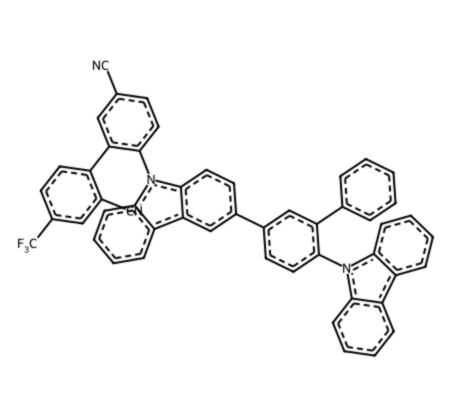 N#Cc1ccc(-n2c3ccccc3c3cc(-c4ccc(-n5c6ccccc6c6ccccc65)c(-c5ccccc5)c4)ccc32)c(-c2ccc(C(F)(F)F)cc2C#N)c1